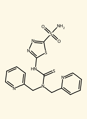 NS(=O)(=O)c1nnc(NC(=S)N(Cc2ccccn2)Cc2ccccn2)s1